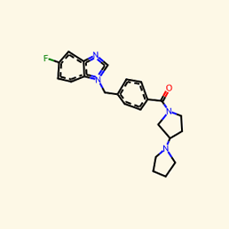 O=C(c1ccc(Cn2cnc3cc(F)ccc32)cc1)N1CCC(N2CCCC2)C1